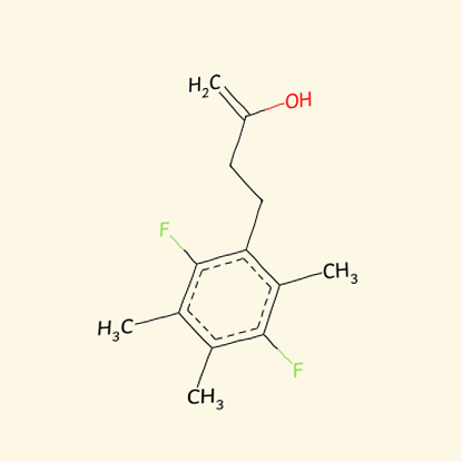 C=C(O)CCc1c(C)c(F)c(C)c(C)c1F